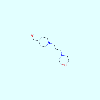 [O]CC1CCN(CCCN2CCOCC2)CC1